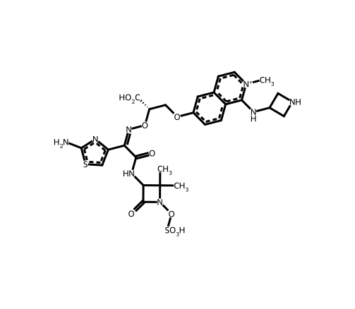 C[n+]1ccc2cc(OC[C@H](O/N=C(\C(=O)NC3C(=O)N(OS(=O)(=O)O)C3(C)C)c3csc(N)n3)C(=O)O)ccc2c1NC1CNC1